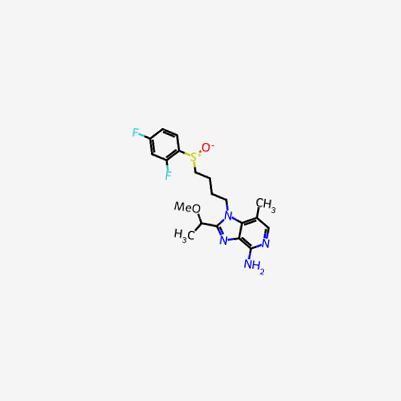 COC(C)c1nc2c(N)ncc(C)c2n1CCCC[S+]([O-])c1ccc(F)cc1F